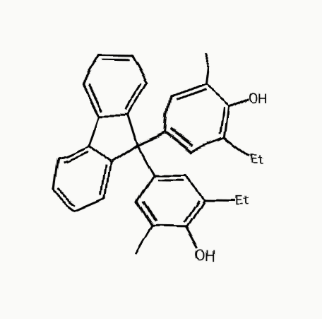 CCc1cc(C2(c3cc(C)c(O)c(CC)c3)c3ccccc3-c3ccccc32)cc(C)c1O